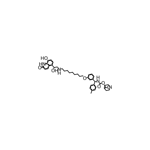 Cc1ccc(C(NC(=O)OC2CN3CCC2CC3)c2cccc(OCCCCCCCCCNCC(O)c3ccc(O)c4[nH]c(=O)ccc34)c2)cc1